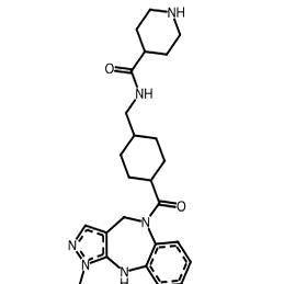 Cn1ncc2c1Nc1ccccc1N(C(=O)C1CCC(CNC(=O)C3CCNCC3)CC1)C2